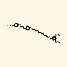 CCCCCCc1ccc(OC(=O)C=Cc2ccc(OCCCCCCCCCCCOC(=O)c3cc(N)cc(N)c3)cc2)cc1